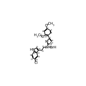 Br.COc1ccc(-c2csc(NCCc3c[nH]c4ccc(Cl)cc34)n2)c(OC)c1